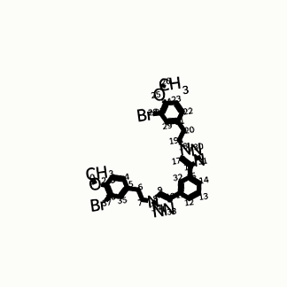 COc1ccc(CCn2cc(-c3cccc(-c4cn(CCc5ccc(OC)c(Br)c5)nn4)c3)nn2)cc1Br